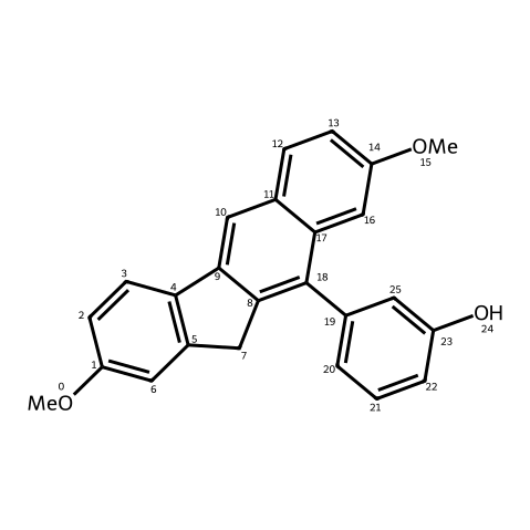 COc1ccc2c(c1)Cc1c-2cc2ccc(OC)cc2c1-c1cccc(O)c1